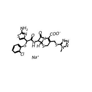 Cn1nnnc1SCC1=C(C(=O)[O-])N2C(=O)C(NC(=O)C(Sc3ccccc3Cl)c3csc(N)n3)[C@H]2SC1.[Na+]